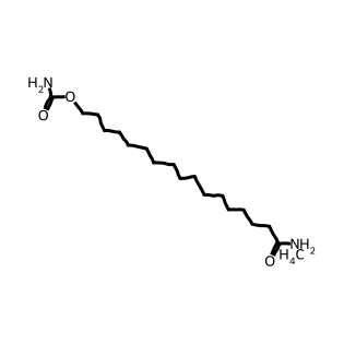 C.NC(=O)CCCCCCCCCCCCCCCCOC(N)=O